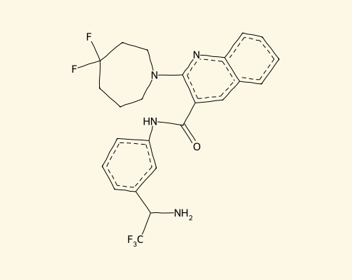 NC(c1cccc(NC(=O)c2cc3ccccc3nc2N2CCCC(F)(F)CC2)c1)C(F)(F)F